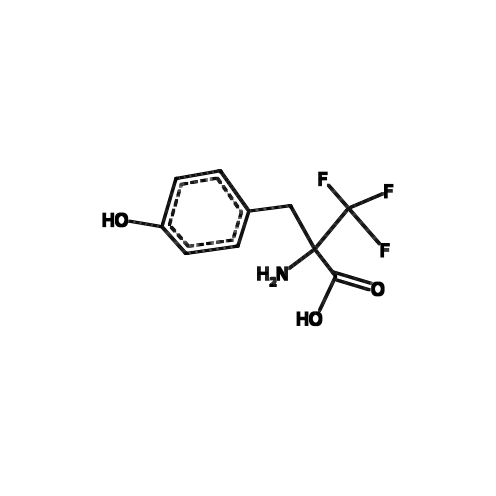 NC(Cc1ccc(O)cc1)(C(=O)O)C(F)(F)F